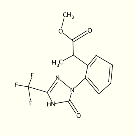 COC(=O)C(C)c1ccccc1-n1nc(C(F)(F)F)[nH]c1=O